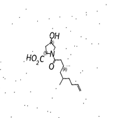 C=CCCC(C)C[C@@H](C)CC(=O)N1C[C@H](O)C[C@H]1C(=O)O